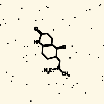 CN(C)CC1CCC2=C(CCC(=O)N2)C1=O